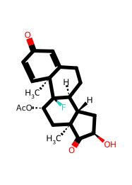 CC(=O)O[C@H]1C[C@]2(C)C(=O)[C@H](O)C[C@H]2[C@@H]2CCC3=CC(=O)C=C[C@]3(C)[C@@]12F